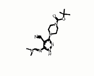 CN(C)C=Nc1[nH]nc(N2CCN(C(=O)OC(C)(C)C)CC2)c1C#N